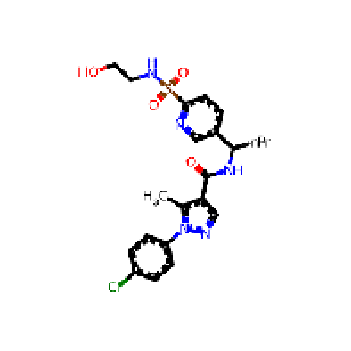 CCCC(NC(=O)c1cnn(-c2ccc(Cl)cc2)c1C)c1ccc(S(=O)(=O)NCCO)nc1